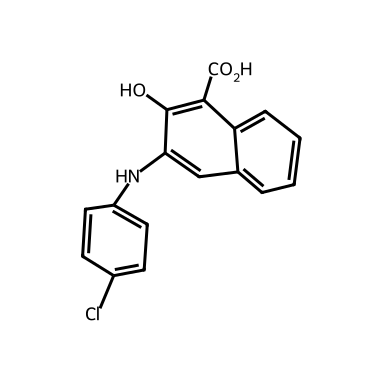 O=C(O)c1c(O)c(Nc2ccc(Cl)cc2)cc2ccccc12